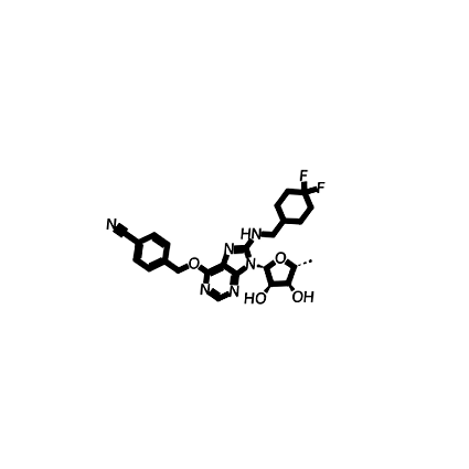 C[C@H]1O[C@@H](n2c(NCC3CCC(F)(F)CC3)nc3c(OCc4ccc(C#N)cc4)ncnc32)[C@H](O)[C@@H]1O